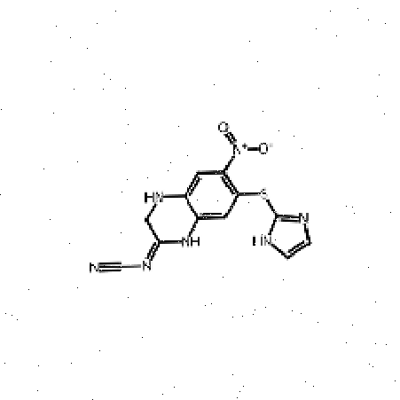 N#C/N=C1\CNc2cc([N+](=O)[O-])c(Sc3ncc[nH]3)cc2N1